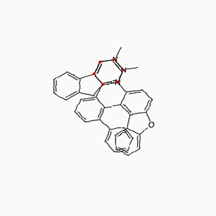 Cc1cc2c(c(-c3ccc4oc5ccccc5c4c3-c3c(-c4ccccc4)cccc3-c3ccnnn3)c1C)Cc1ccccc1-2